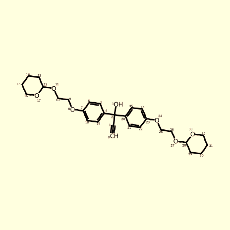 C#CC(O)(c1ccc(OCCOC2CCCCO2)cc1)c1ccc(OCCOC2CCCCO2)cc1